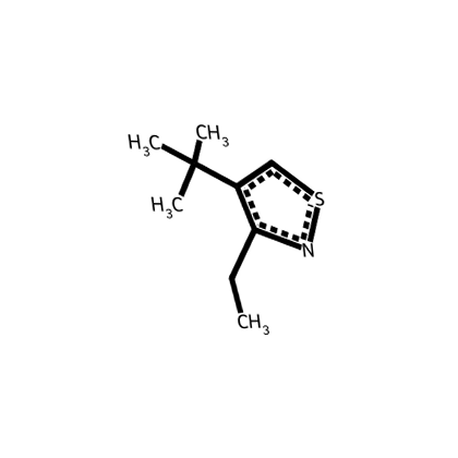 CCc1nscc1C(C)(C)C